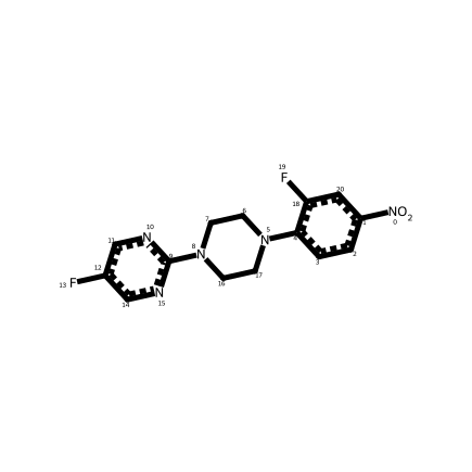 O=[N+]([O-])c1ccc(N2CCN(c3ncc(F)cn3)CC2)c(F)c1